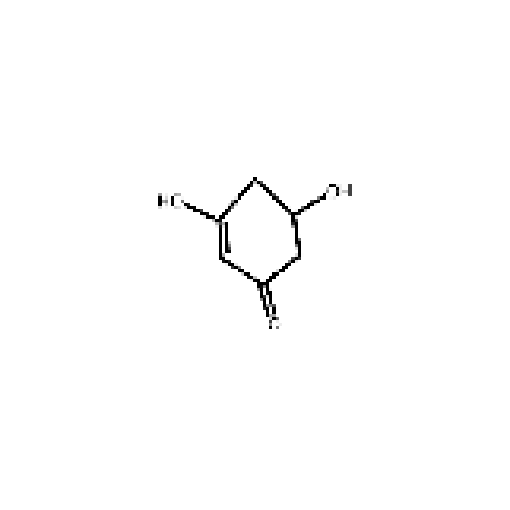 O=C1C=C(O)CC(O)C1